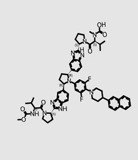 COC(=O)N[C@H](C(=O)N1CCC[C@H]1c1nc2cc([C@H]3CC[C@H](c4ccc5[nH]c([C@@H]6CCCN6C(=O)[C@H](C(C)C)N(C)C(=O)O)nc5c4)N3c3cc(F)c(N4CCC(c5ccc6ccccc6c5)CC4)c(F)c3)ccc2[nH]1)C(C)C